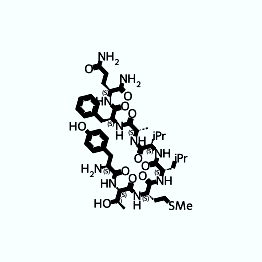 CSCC[C@H](NC(=O)[C@@H](NC(=O)[C@@H](N)Cc1ccc(O)cc1)[C@@H](C)O)C(=O)N[C@@H](CC(C)C)C(=O)N[C@H](C(=O)N[C@@H](C)C(=O)N[C@@H](Cc1ccccc1)C(=O)N[C@@H](CCC(N)=O)C(N)=O)C(C)C